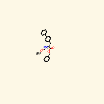 CC(C)(C)OCN[C@@H](Cc1ccc(-c2ccccc2)cc1)C(=O)OCc1ccccc1